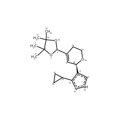 CC1(C)OB(C2=C[C@H](c3c[nH]nc3C3CC3)OCC2)OC1(C)C